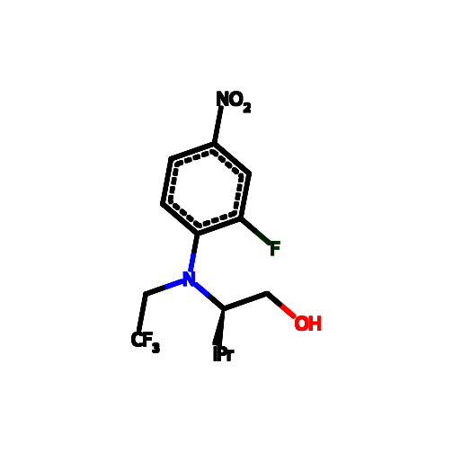 CC(C)[C@H](CO)N(CC(F)(F)F)c1ccc([N+](=O)[O-])cc1F